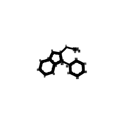 NCc1cc2ccccc2n1-c1ccccc1